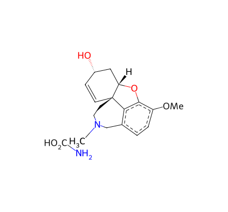 COc1ccc2c3c1O[C@H]1C[C@@H](O)C=C[C@@]31CCN(C)C2.NC(=O)O